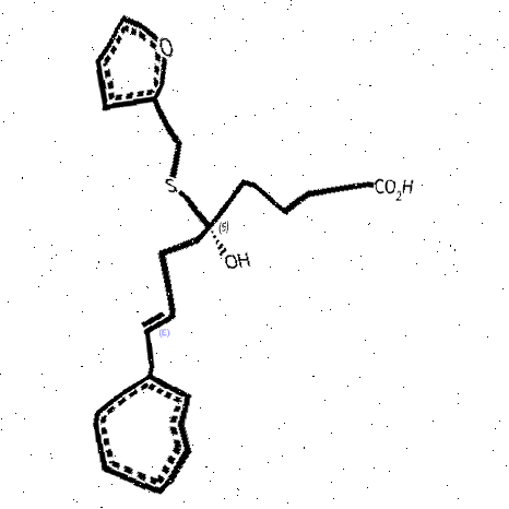 O=C(O)CCC[C@@](O)(C/C=C/c1ccccc1)SCc1ccco1